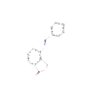 O=C1OCc2c(/N=C/c3ccc(F)cc3)cccc21